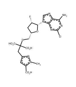 Cn1nc(CC(OC[C@@H]2C[C@H](F)[C@H](n3cnc4c(N)nc(Cl)nc43)O2)(C(=O)O)C(=O)O)cc1C(=O)O